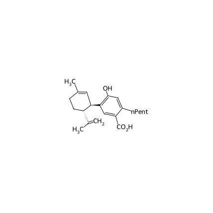 C=C(C)[C@@H]1CCC(C)=C[C@H]1c1cc(C(=O)O)c(CCCCC)cc1O